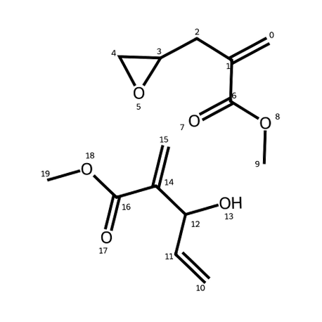 C=C(CC1CO1)C(=O)OC.C=CC(O)C(=C)C(=O)OC